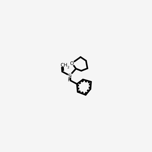 C=C[SiH](Cc1ccccc1)C1CCCCO1